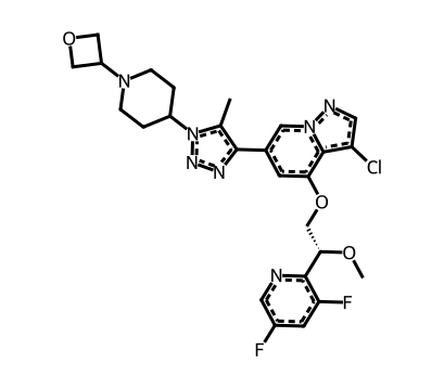 CO[C@@H](COc1cc(-c2nnn(C3CCN(C4COC4)CC3)c2C)cn2ncc(Cl)c12)c1ncc(F)cc1F